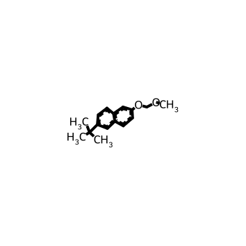 COCOc1ccc2cc(C(C)(C)C)ccc2c1